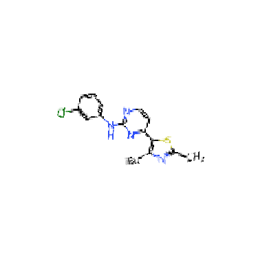 CCC(C)c1nc(C)sc1-c1ccnc(Nc2cccc(Cl)c2)n1